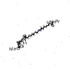 CCCNC(=O)CCCCCCC/C=C/CCCCCCCC(=O)NCCC[N+](C)(C)CC(=O)OC